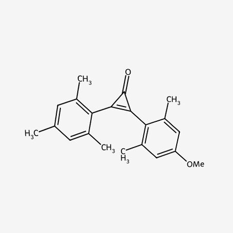 COc1cc(C)c(-c2c(-c3c(C)cc(C)cc3C)c2=O)c(C)c1